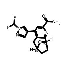 NC(=O)c1cc(-c2cnn(C(F)F)c2)c2c(n1)[C@@H]1CC[C@H](C2)O1